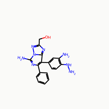 NNc1ccc(-c2c(-c3ccccc3)nc(N)n3nc(CO)nc23)cc1N